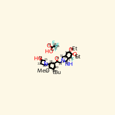 CCOc1cc2c(c(F)c1OCC)C(=N)N(CC(=O)c1cc(N3CCC(O)C3)c(OC)c(C(C)(C)C)c1)C2.O=C(O)C(F)(F)F